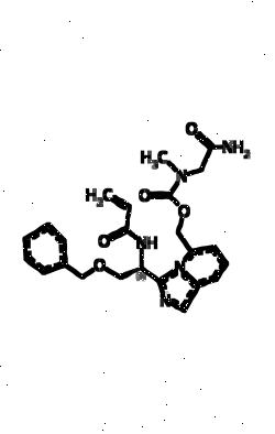 C=CC(=O)N[C@H](COCc1ccccc1)c1ncc2cccc(COC(=O)N(C)CC(N)=O)n12